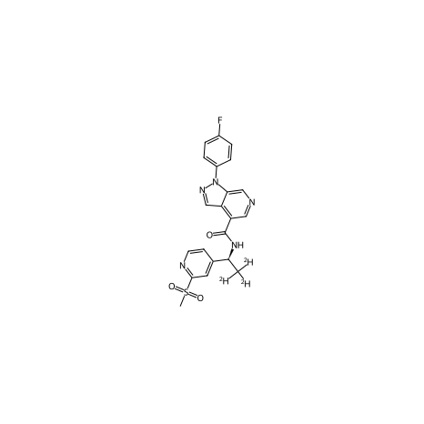 [2H]C([2H])([2H])[C@H](NC(=O)c1cncc2c1cnn2-c1ccc(F)cc1)c1ccnc(S(C)(=O)=O)c1